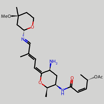 CO[C@@]1(C)CCO[C@H](/N=C/C(C)=C/C=C2/O[C@H](C)[C@H](NC(=O)/C=C\[C@H](C)OC(C)=O)C[C@@H]2N)C1